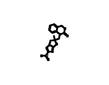 CC1(CN2C(=O)OCc3ccccc32)Cn2cc([N+](=O)[O-])nc2O1